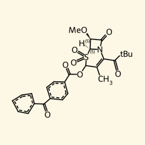 CO[C@H]1C(=O)N2C(C(=O)C(C)(C)C)=C(C)C(OC(=O)c3ccc(C(=O)c4ccccc4)cc3)S(=O)(=O)[C@@H]12